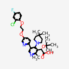 Cc1ncc(-c2ccc(OCCOc3ccc(F)cc3Cl)cn2)c(N2CCC(C)(C)CC2)c1[C@H](OC(C)(C)C)C(=O)O